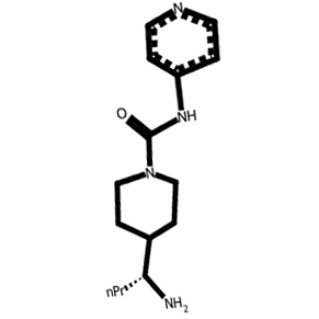 CCC[C@@H](N)C1CCN(C(=O)Nc2ccncc2)CC1